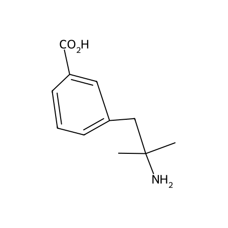 CC(C)(N)Cc1cccc(C(=O)O)c1